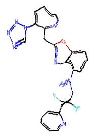 FC(F)(CNc1cccc2oc(Cc3ncccc3-n3cnnn3)nc12)c1ccccn1